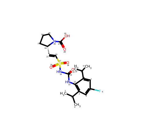 CC(C)c1cc(F)cc(C(C)C)c1NC(=O)NS(=O)(=O)/C=C/[C@@H]1CCCN1C(=O)O